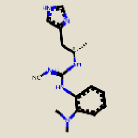 C[C@@H](Cc1c[nH]cn1)N/C(=N/C#N)Nc1ccccc1N(C)C